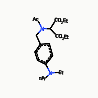 CCCN(CC)c1ccc(CN(C(C)=O)C(C(=O)OCC)C(=O)OCC)cc1